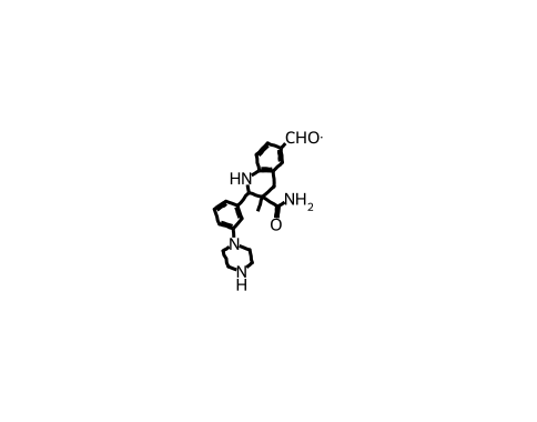 CC1(C(N)=O)Cc2cc([C]=O)ccc2NC1c1cccc(N2CCNCC2)c1